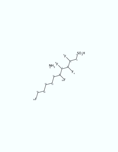 N.O=S(=O)(O)CC(F)C(F)C(F)C(F)CCCCCF